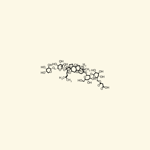 CC(C)=CCC[C@](C)(O[C@@H]1O[C@H](CO[C@@H]2OC[C@H](O)[C@H](O)[C@H]2O)[C@@H](O)[C@H](O)[C@H]1O)[C@H]1CC[C@]2(C)[C@@H]1[C@H](O)C[C@@H]1[C@@]3(C)CC[C@H](O[C@@H]4O[C@H](CO)[C@@H](O)[C@H](O)[C@H]4O[C@@H]4O[C@H](COC(=O)CC(=O)O)[C@@H](O)[C@H](O)[C@H]4O)C(C)(C)[C@@H]3CC[C@]12C